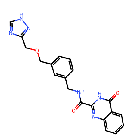 O=C(NCc1cccc(COCc2nc[nH]n2)c1)c1nc2ccccc2c(=O)[nH]1